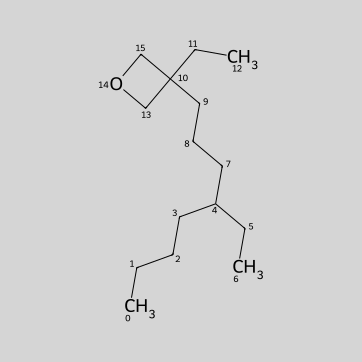 CCCCC(CC)CCCC1(CC)COC1